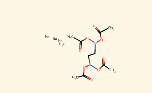 CC(=O)ON(CCN(OC(C)=O)OC(C)=O)OC(C)=O.O.[Na].[Na].[Na]